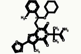 Cc1ccccc1[C@H](Cn1c(=O)n(C(C)(C)C(N)=O)c(=O)c2c(C)c(-c3ncco3)sc21)OC1CCCCC1